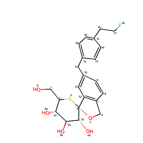 OCC1S[C@]2(OCc3ccc(Cc4ccc(CCF)cc4)cc32)[C@H](O)C(O)[C@@H]1O